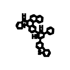 C1=CC2Nc3c(c4ccc(C5NC(c6ccc7sc8ccccc8c7c6)=CC(c6ccccc6)N5)cc4c4c3ccc3ccccc34)N2C=C1